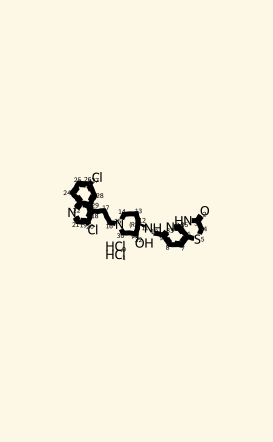 Cl.Cl.O=C1CSc2ccc(CN[C@@H]3CCN(CCc4c(Cl)cnc5ccc(Cl)cc45)C[C@H]3O)nc2N1